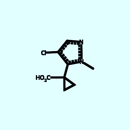 Cn1ncc(Cl)c1C1(C(=O)O)CC1